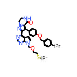 CC(C)SCCOCn1ccc2c(-c3nn4c(c3-c3ccc(OCc5ccc(C(C)C)cc5)cc3)C(=O)NCC4)ncnc21